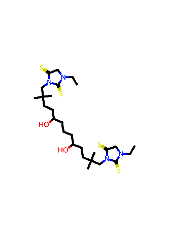 CCN1CC(=S)N(CC(C)(C)CCC(O)CCCC(O)CCC(C)(C)CN2C(=S)CN(CC)C2=S)C1=S